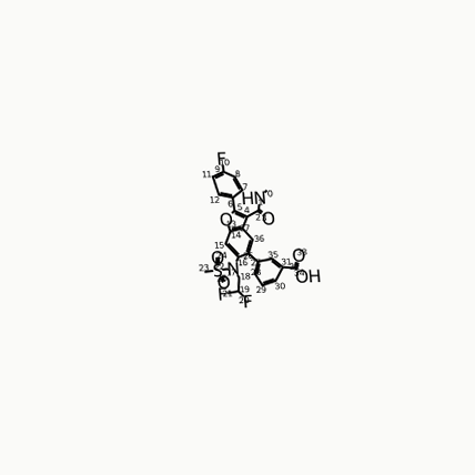 CNC(=O)c1c(-c2ccc(F)cc2)oc2cc(N(CC(F)F)S(C)(=O)=O)c(-c3cccc(C(=O)O)c3)cc12